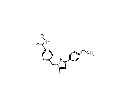 Cc1cc(-c2ccc(CN)cc2)nn1Cc1ccc(C(=O)NO)cc1